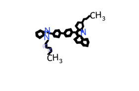 CC/C=C\C=C/Cn1c(-c2ccc(-c3ccc(-c4c5c(nc6c4ccc4ccccc46)CC(CCCC)C=C5)cc3)cc2)nc2ccccc21